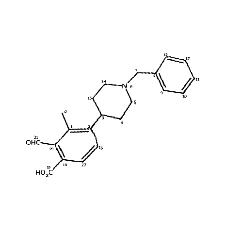 Cc1c(C2CCN(Cc3ccccc3)CC2)ccc(C(=O)O)c1C=O